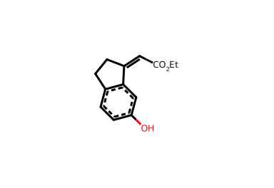 CCOC(=O)/C=C1/CCc2ccc(O)cc21